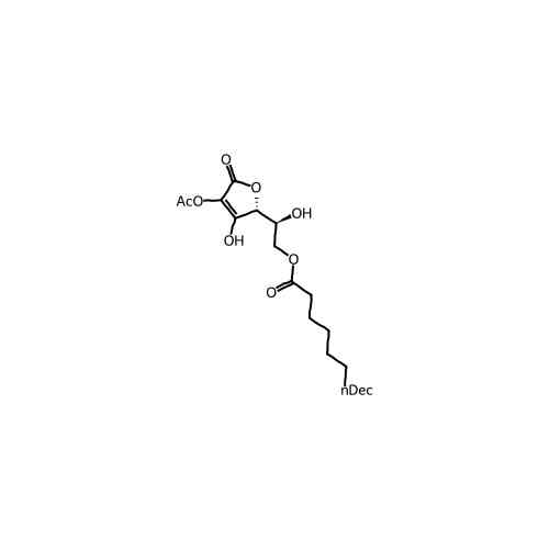 CCCCCCCCCCCCCCCC(=O)OC[C@H](O)[C@H]1OC(=O)C(OC(C)=O)=C1O